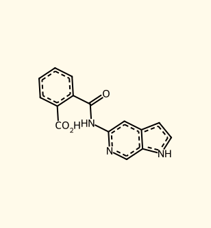 O=C(O)c1ccccc1C(=O)Nc1cc2cc[nH]c2cn1